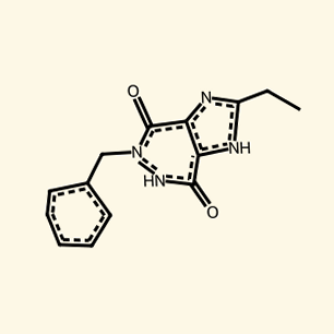 CCc1nc2c(=O)n(Cc3ccccc3)[nH]c(=O)c2[nH]1